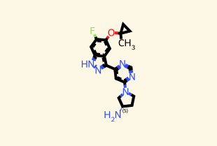 CC1(Oc2cc3c(-c4cc(N5CC[C@H](N)C5)ncn4)n[nH]c3cc2F)CC1